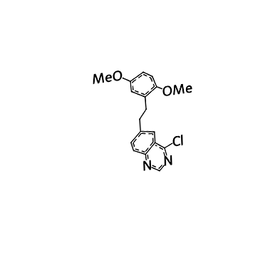 COc1ccc(OC)c(CCc2ccc3ncnc(Cl)c3c2)c1